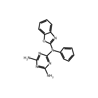 Nc1nc(N)nc(N(c2ccccc2)c2nc3ccccc3o2)n1